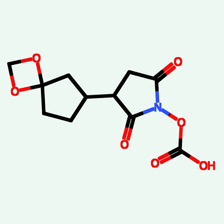 O=C(O)ON1C(=O)CC(C2CCC3(C2)OCO3)C1=O